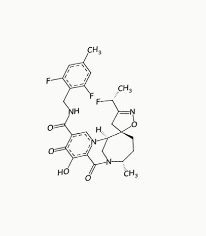 Cc1cc(F)c(CNC(=O)c2cn3c(c(O)c2=O)C(=O)N2C[C@@H]3[C@]3(CC[C@@H]2C)CC([C@@H](C)F)=NO3)c(F)c1